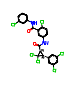 O=C(Nc1cccc(Cl)c1)c1cc(NC(=O)[C@H]2[C@H](c3cc(Cl)cc(Cl)c3)C2(Cl)Cl)ccc1Cl